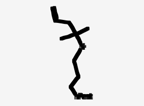 C=CCC(C)(C)[N]CCCCCCCC